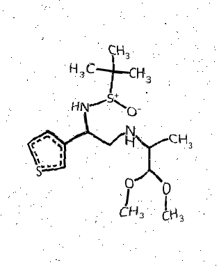 COC(OC)C(C)NCC(N[S+]([O-])C(C)(C)C)c1ccsc1